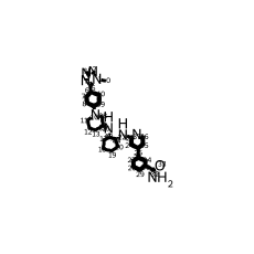 Cn1nnnc1-c1ccc(N2CCC[C@H](N[C@@H]3CCCC[C@H]3Nc3cc(-c4cccc(C(N)=O)c4)ccn3)C2)cc1